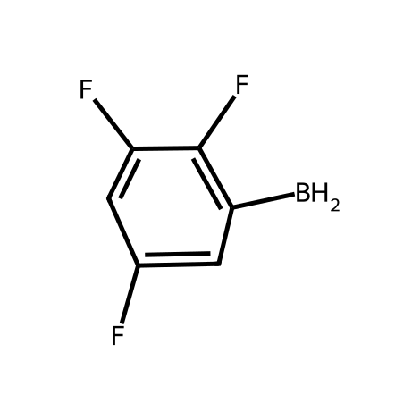 Bc1cc(F)cc(F)c1F